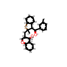 Cc1cccc(C(=O)C2c3ccccc3SC2(C)Cc2coc3ccccc3c2=O)c1